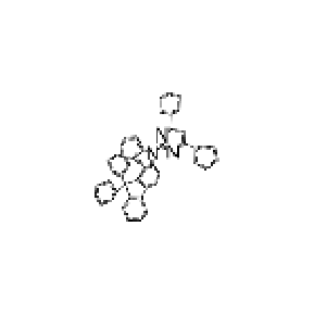 c1ccc(-c2cc(-c3ccccc3)nc(-n3c4ccccc4c4c5c(ccc43)-c3ccccc3C5(c3ccccc3)c3ccccc3)n2)cc1